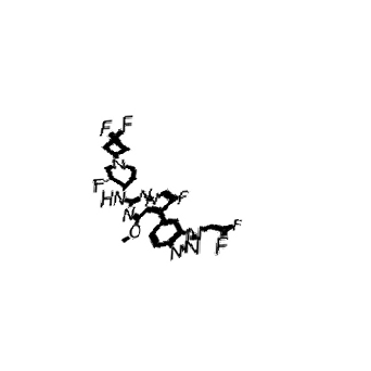 COc1nc(N[C@H]2CCN(C3CC(F)(F)C3)C[C@H]2F)nn2cc(F)c(-c3ccc4nnn(CC(F)F)c4c3)c12